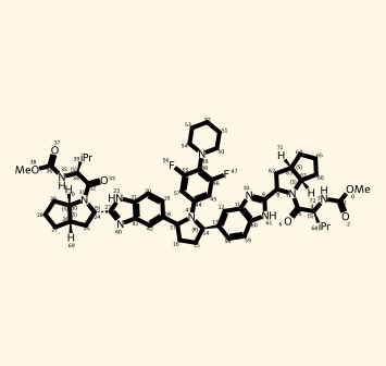 COC(=O)N[C@H](C(=O)N1C(c2nc3cc([C@H]4CCC(c5ccc6[nH]c([C@@H]7C[C@@H]8CCC[C@@H]8N7C(=O)[C@@H](NC(=O)OC)C(C)C)nc6c5)N4c4cc(F)c(N5CCCCC5)c(F)c4)ccc3[nH]2)C[C@@H]2CCC[C@@H]21)C(C)C